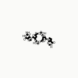 Nc1nc2c(ncn2[C@@H]2O[C@@H]3COP(=O)(O)O[C@H]4C[C@H](n5ccc6c(=O)[nH]cnc65)O[C@@H]4COP(=O)(S)O[C@@H]2C3)c(=O)[nH]1